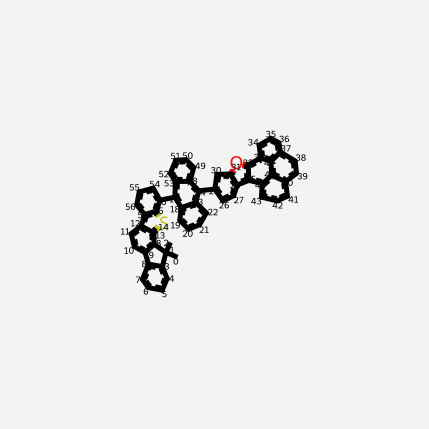 CC1(C)c2ccccc2-c2ccc3c(sc4c(-c5c6ccccc6c(-c6ccc7c(c6)oc6c8cccc9ccc%10cccc(c76)c%10c98)c6ccccc56)cccc43)c21